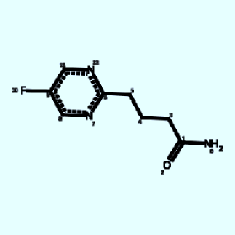 NC(=O)CCCc1ncc(F)cn1